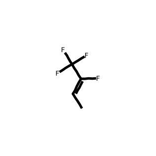 CC=C(F)C(F)(F)F